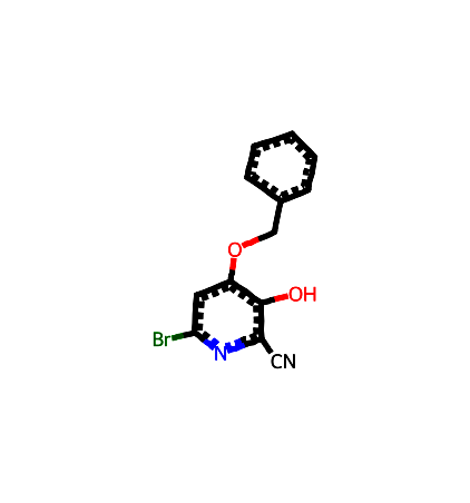 N#Cc1nc(Br)cc(OCc2ccccc2)c1O